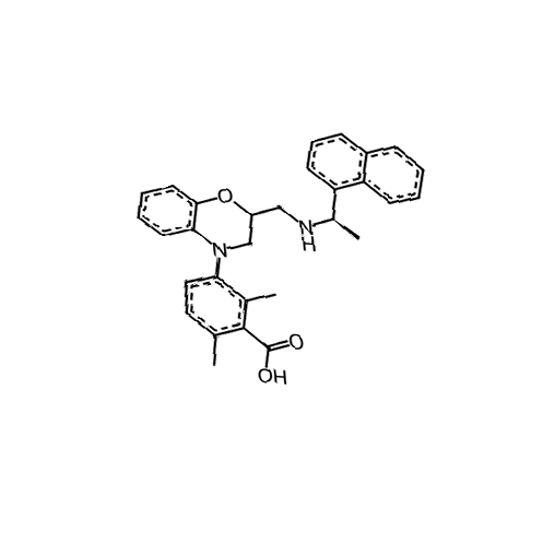 Cc1ccc(N2CC(CN[C@H](C)c3cccc4ccccc34)Oc3ccccc32)c(C)c1C(=O)O